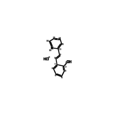 Cl.Oc1ccccc1/C=C/c1ccccn1